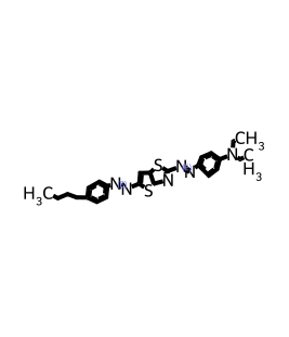 CCCCc1ccc(/N=N/C2=CC3SC(/N=N/c4ccc(N(CC)CC)cc4)=NC3S2)cc1